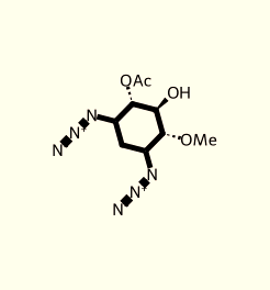 CO[C@@H]1C(N=[N+]=[N-])CC(N=[N+]=[N-])[C@H](OC(C)=O)[C@H]1O